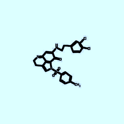 Cc1ccc(S(=O)(=O)n2cc3c4c2C(=O)C(NCCc2ccc(Cl)c(Cl)c2)=CC4=NCC3)cc1